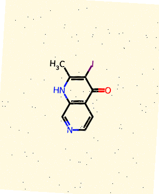 Cc1[nH]c2cnccc2c(=O)c1I